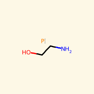 NCCO.[P]